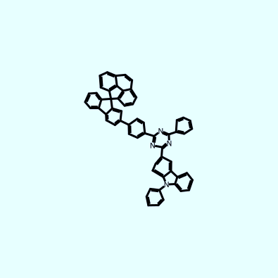 c1ccc(-c2nc(-c3ccc(-c4ccc5c(c4)C4(c6ccccc6-5)c5cccc6ccc7cccc4c7c56)cc3)nc(-c3ccc4c(c3)c3ccccc3n4-c3ccccc3)n2)cc1